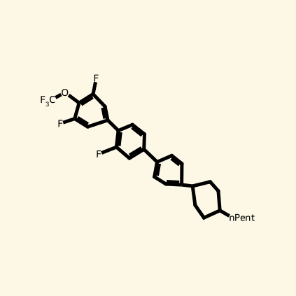 CCCCCC1CCC(c2ccc(-c3ccc(-c4cc(F)c(OC(F)(F)F)c(F)c4)c(F)c3)cc2)CC1